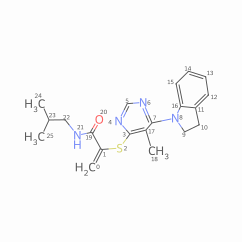 C=C(Sc1ncnc(N2CCc3ccccc32)c1C)C(=O)NCC(C)C